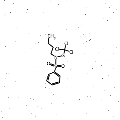 CCCCN(SC(Cl)(Cl)Cl)S(=O)(=O)c1ccccc1